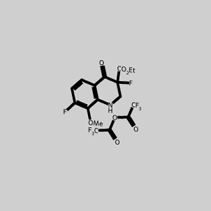 CCOC(=O)C1(F)CNc2c(ccc(F)c2OC)C1=O.O=C(OC(=O)C(F)(F)F)C(F)(F)F